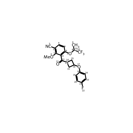 COc1c(C#N)ccc(O[C@@H](C)C(F)(F)F)c1C(=O)N1CC(Oc2ccc(F)cc2)C1